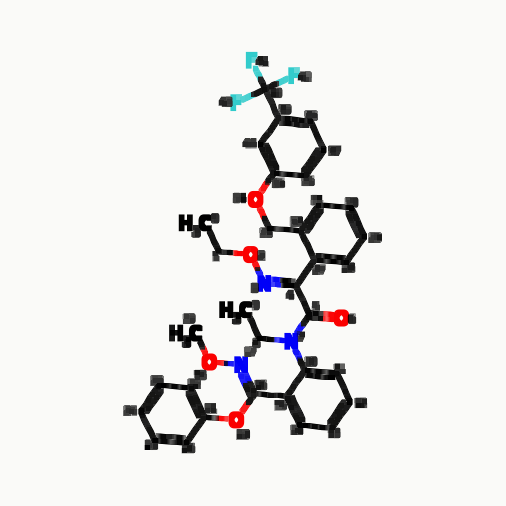 CCON=C(C(=O)N(CC)c1ccccc1C(=NOC)Oc1ccccc1)c1ccccc1COc1cccc(C(F)(F)F)c1